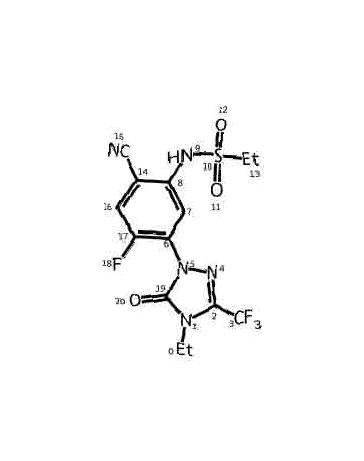 CCn1c(C(F)(F)F)nn(-c2cc(NS(=O)(=O)CC)c(C#N)cc2F)c1=O